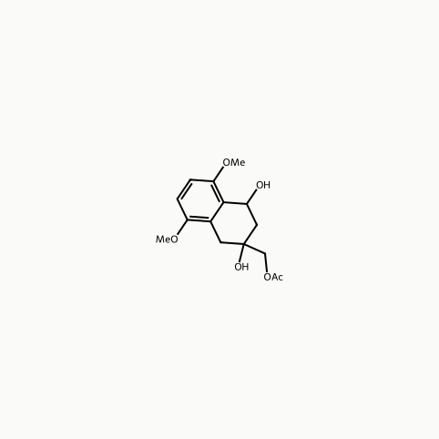 COc1ccc(OC)c2c1CC(O)(COC(C)=O)CC2O